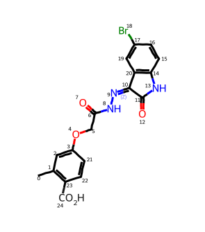 Cc1cc(OCC(=O)N/N=C2\C(=O)Nc3ccc(Br)cc32)ccc1C(=O)O